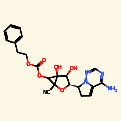 N#C[C@]12O[C@@H](C3CC=C4C(N)=NC=NN43)[C@H](O)[C@@]1(O)C2OC(=O)OCCc1ccccc1